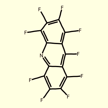 Fc1c(F)c(F)c2c(F)c3c(F)c(F)c(F)c(F)c3nc2c1F